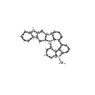 Cn1c2cccc3c4cccc5c6cc7oc8ccccc8c7cc6n(c6cccc1c6c32)c45